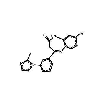 Cc1nccn1-c1cccc(C2=Nc3ccc(C(C)C)cc3NC(=O)C2)c1